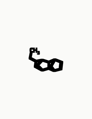 CCC1CC2CC1C1C3C=CC(C3)C21